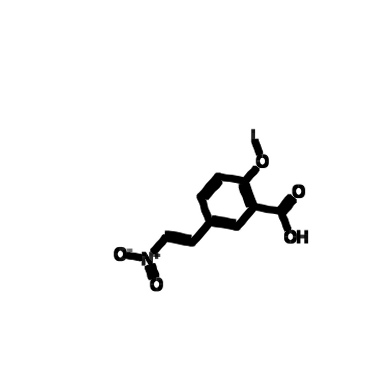 O=C(O)c1cc(/C=C/[N+](=O)[O-])ccc1OI